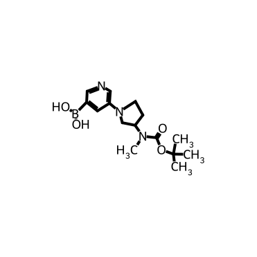 CN(C(=O)OC(C)(C)C)C1CCN(c2cncc(B(O)O)c2)C1